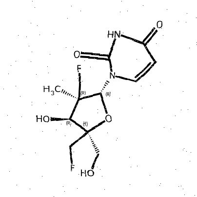 C[C@@]1(F)[C@H](O)[C@](CO)(CF)O[C@H]1n1ccc(=O)[nH]c1=O